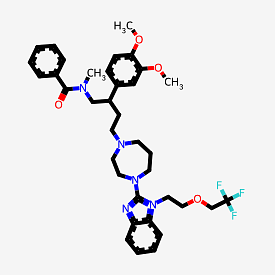 COc1ccc(C(CCN2CCCN(c3nc4ccccc4n3CCOCC(F)(F)F)CC2)CN(C)C(=O)c2ccccc2)cc1OC